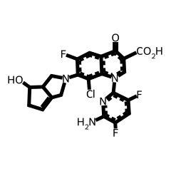 Nc1nc(-n2cc(C(=O)O)c(=O)c3cc(F)c(N4CC5=CCC(O)C5C4)c(Cl)c32)c(F)cc1F